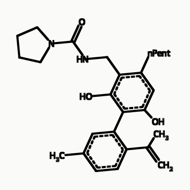 C=C(C)c1ccc(C)cc1-c1c(O)cc(CCCCC)c(CNC(=O)N2CCCC2)c1O